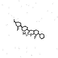 CC(CC1CCC(C2CCCCC2)C(F)C1F)C1CCC(C2CCC(I)CC2F)CC1